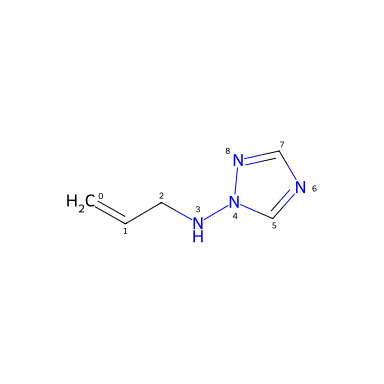 C=CCNn1cncn1